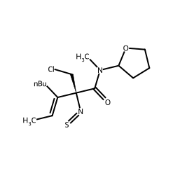 CC=C(CCCC)[C@@](CCl)(N=S)C(=O)N(C)C1CCCO1